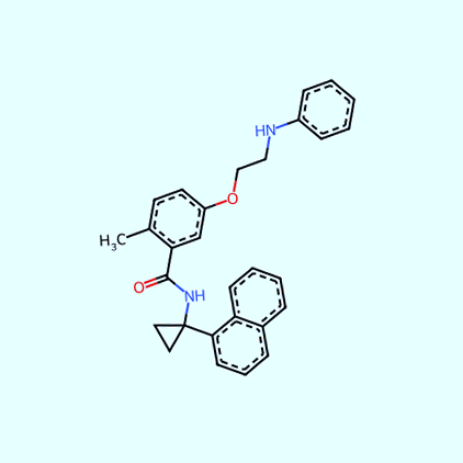 Cc1ccc(OCCNc2ccccc2)cc1C(=O)NC1(c2cccc3ccccc23)CC1